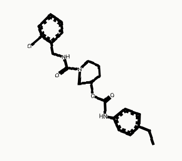 CCc1ccc(NC(=O)OC2CCCN(C(=O)NCc3ccccc3Cl)C2)cc1